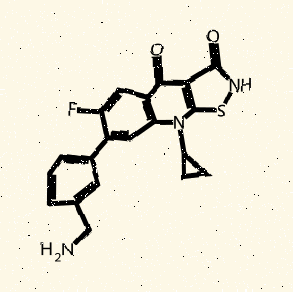 NCc1cccc(-c2cc3c(cc2F)c(=O)c2c(=O)[nH]sc2n3C2CC2)c1